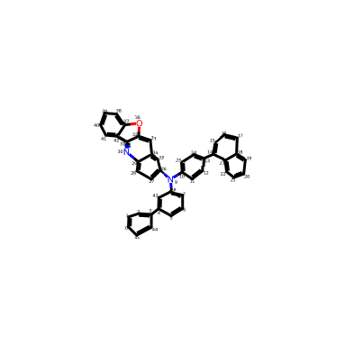 c1ccc(-c2cccc(N(c3ccc(-c4cccc5ccccc45)cc3)c3ccc4nc5c(cc4c3)oc3ccccc35)c2)cc1